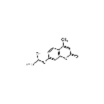 CCCCCCC(C)Oc1ccc2c(C)cc(=O)oc2c1